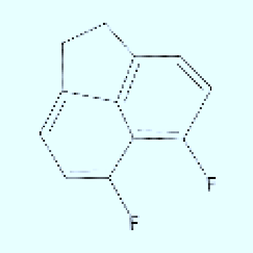 Fc1ccc2c3c(ccc(F)c13)CC2